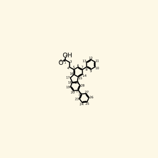 O=C(O)CCc1cc(-c2ccccc2)cc2c1Cc1ccc(-c3ccccc3)cc1-2